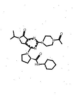 CC(=O)N1CCN(c2nc3c(c(N4CCC[C@@H]4C(=O)NC4CCCCC4)n2)CN(C(C)C)C3=O)CC1